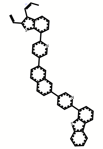 C=Cc1sc2c(-c3ccc(-c4ccc5ccc(-c6ccc(-c7cccc8c7sc7ccccc78)nc6)cc5c4)cn3)cccc2c1/C=C\C